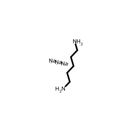 NCCCCCN.[Na].[Na].[Na]